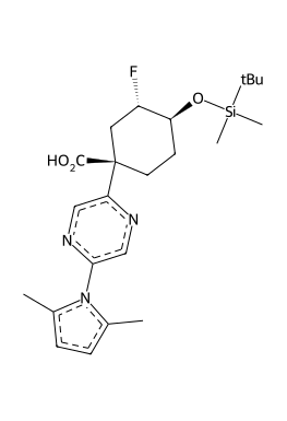 Cc1ccc(C)n1-c1cnc([C@@]2(C(=O)O)CC[C@H](O[Si](C)(C)C(C)(C)C)[C@@H](F)C2)cn1